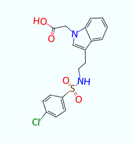 O=C(O)Cn1cc(CCNS(=O)(=O)c2ccc(Cl)cc2)c2ccccc21